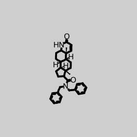 C[C@]12C=CC(=O)NC1CC[C@@H]1[C@H]2CC[C@]2(C)C(C(=O)N(Cc3ccccc3)Cc3ccccc3)CC[C@@H]12